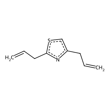 C=CCc1csc(CC=C)n1